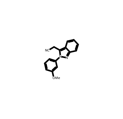 COc1cccc(-n2nc3ccccc3c2CC#N)c1